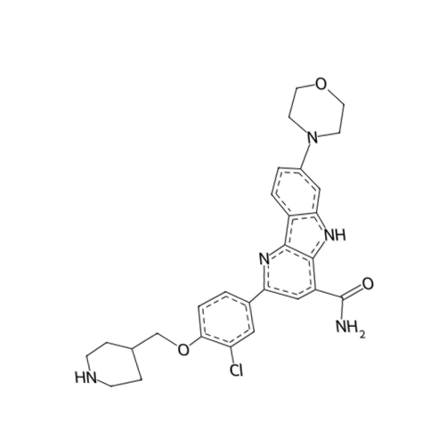 NC(=O)c1cc(-c2ccc(OCC3CCNCC3)c(Cl)c2)nc2c1[nH]c1cc(N3CCOCC3)ccc12